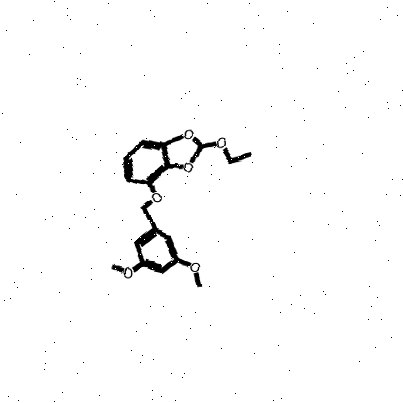 CCOC1Oc2cccc(OCc3cc(OC)cc(OC)c3)c2O1